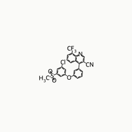 CS(=O)(=O)c1cc(Cl)cc(Oc2cccc(-c3c(C#N)cnc4c(C(F)(F)F)cccc34)c2)c1